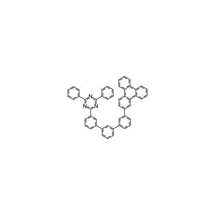 c1ccc(-c2nc(-c3ccccc3)nc(-c3cccc(-c4cccc(-c5cccc(-c6ccc7c8ccccc8c8ccccc8c7c6)c5)c4)c3)n2)cc1